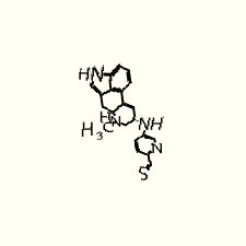 CN1C[C@@H](Nc2ccc(C=S)nc2)CC2c3cccc4[nH]cc(c34)C[C@H]21